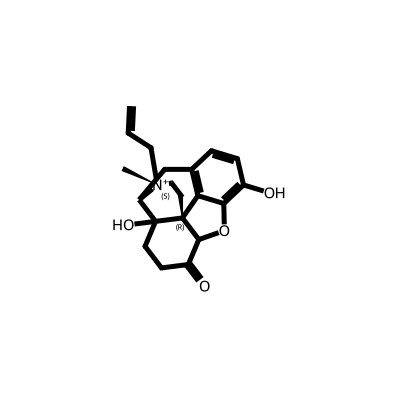 C=CC[N@+]1(C)CC[C@@]23c4c5ccc(O)c4OC2C(=O)CCC3(O)C1C5